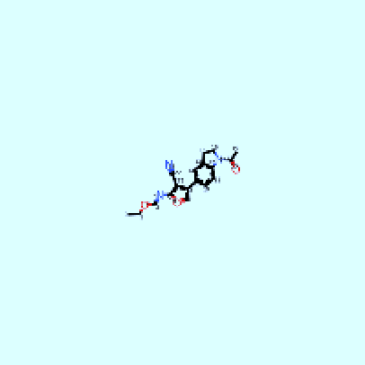 CCO/C=N/c1occ(-c2ccc3c(c2)CCN3C(C)=O)c1C#N